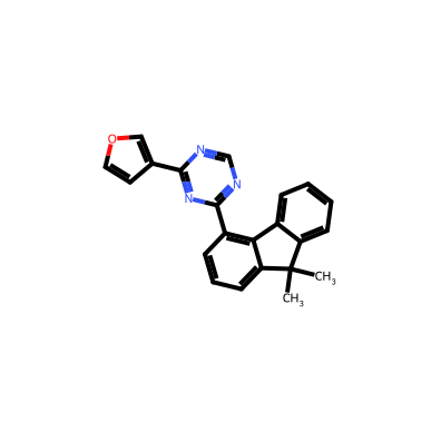 CC1(C)c2ccccc2-c2c(-c3ncnc(-c4ccoc4)n3)cccc21